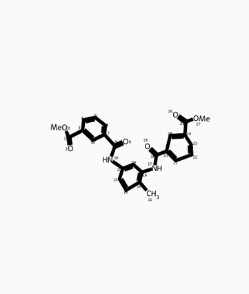 COC(=O)c1cccc(C(=O)Nc2ccc(C)c(NC(=O)c3cccc(C(=O)OC)c3)c2)c1